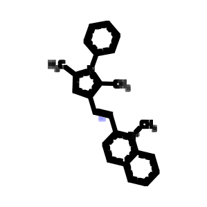 Cc1cc(/C=C/c2ccc3ccccc3[n+]2C)c(C)n1-c1ccccc1